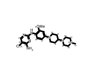 COc1cc(N2CCC(N3CCN(C)CC3)CC2)ccc1Nc1ncc(Cl)c(N)n1